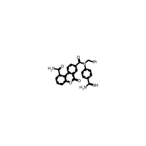 CC(C)CN(C(=O)c1ccc2c(c1)c(=O)oc1cccc(C(N)=O)c12)c1ccc(C(=N)N)cc1